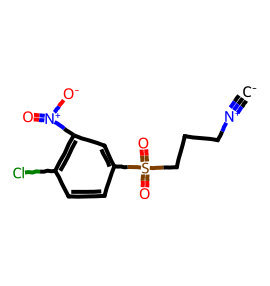 [C-]#[N+]CCCS(=O)(=O)c1ccc(Cl)c([N+](=O)[O-])c1